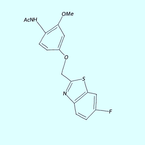 COc1cc(OCc2nc3ccc(F)cc3s2)ccc1NC(C)=O